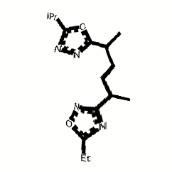 CCc1nc(C(C)CCC(C)c2nnc(C(C)C)o2)no1